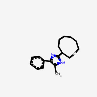 Cc1[nH]c(C2CCCCCCCC2)nc1-c1ccccc1